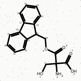 NC(CO)(C(=O)O)C(=O)OCC1c2ccccc2-c2ccccc21